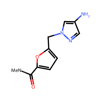 CNC(=O)c1ccc(Cn2cc(N)cn2)o1